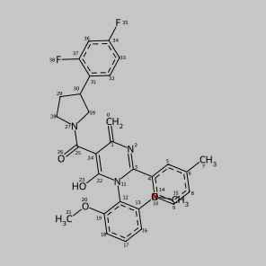 C=C1N=C(c2cc(C)ccn2)N(c2c(OC)cccc2OC)C(O)=C1C(=O)N1CCC(c2ccc(F)cc2F)C1